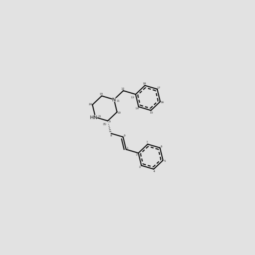 C(=Cc1ccccc1)C[C@H]1CN(Cc2ccccc2)CCN1